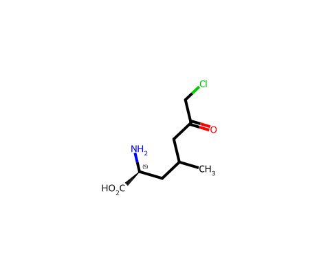 CC(CC(=O)CCl)C[C@H](N)C(=O)O